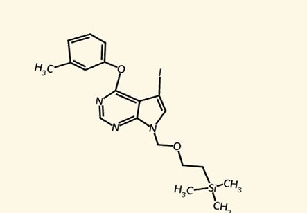 Cc1cccc(Oc2ncnc3c2c(I)cn3COCC[Si](C)(C)C)c1